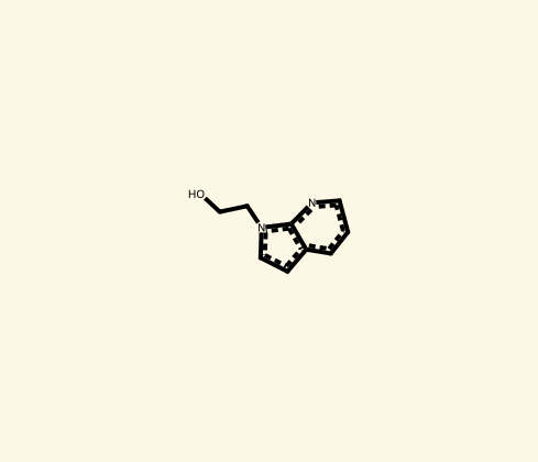 OCCn1ccc2cccnc21